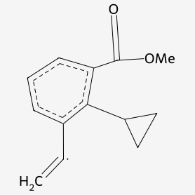 C=[C]c1cccc(C(=O)OC)c1C1CC1